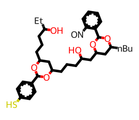 CCCCC1CC(CC(O)CCCC2CC(CCCC(O)CC)OC(c3ccc(S)cc3)O2)OC(c2ccccc2N=O)O1